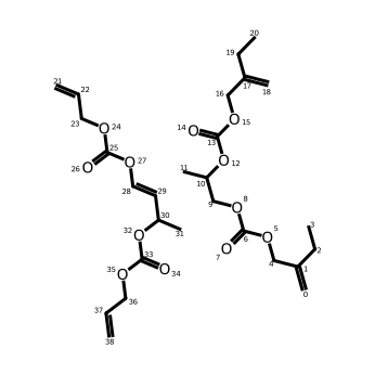 C=C(CC)COC(=O)OCC(C)OC(=O)OCC(=C)CC.C=CCOC(=O)OC=CC(C)OC(=O)OCC=C